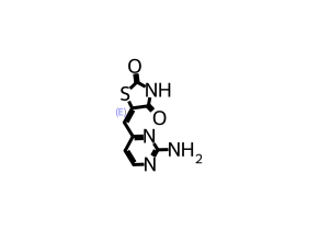 Nc1nccc(/C=C2/SC(=O)NC2=O)n1